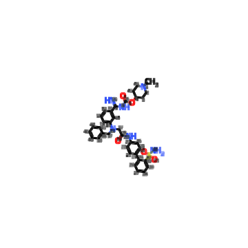 CN1CCC(OC(=O)NC(=N)c2cccc(N(CC(=O)Nc3ccc(-c4ccccc4S(N)(=O)=O)cc3)Cc3ccccc3)c2)CC1